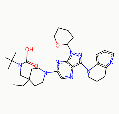 CCC1(CN(C(=O)O)C(C)(C)C)CCN(c2cnc3c(N4CCCc5ncccc54)nn(C4CCCCO4)c3n2)CC1